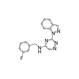 Fc1cccc(CNc2cnnc(-n3ncc4ccccc43)n2)c1